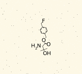 CC(C)(O)[C@H](N)C(=O)OCc1ccc(CF)cc1